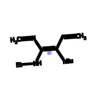 C=C/C(CCCC)=C(\N=C)NCC